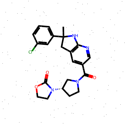 CC1(c2cccc(Cl)c2)Cc2cc(C(=O)N3CC[C@H](N4CCOC4=O)C3)cnc2N1